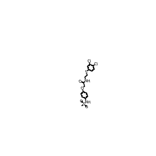 CS(=O)(=O)Nc1ccc(OCC(=O)NCCSc2ccc(Cl)c(Cl)c2)cc1